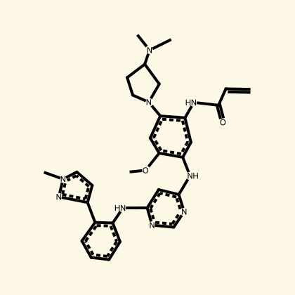 C=CC(=O)Nc1cc(Nc2cc(Nc3ccccc3-c3ccn(C)n3)ncn2)c(OC)cc1N1CCC(N(C)C)C1